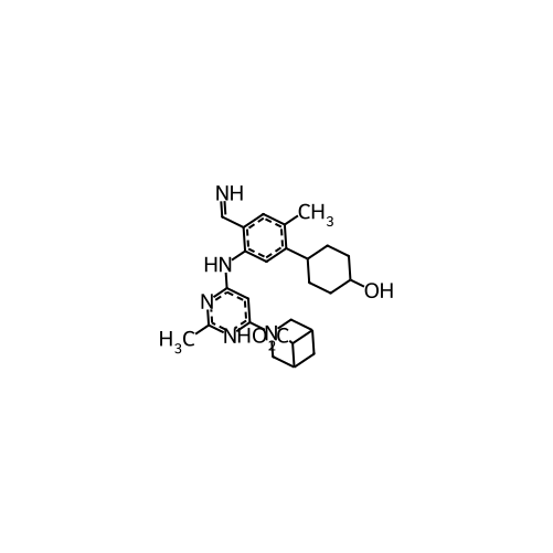 Cc1nc(Nc2cc(C3CCC(O)CC3)c(C)cc2C=N)cc(N2CC3CC(C2)C3C(=O)O)n1